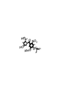 COc1cc(C(=O)N2C[C@H](O)C[C@H]2CO)c([N+](=O)[O-])cc1OSP(I)I